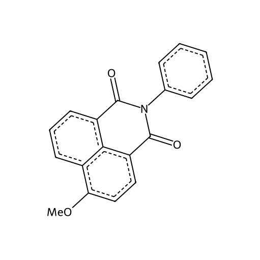 COc1ccc2c3c(cccc13)C(=O)N(c1ccccc1)C2=O